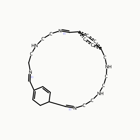 C1=CC2/C=N/CCNCCNCc3ccc(cc3)/C=N/CCNCC/N=C/C1=CC2